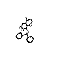 CN1CCOc2c1cnnc2N=C(c1ccccc1)c1ccccc1